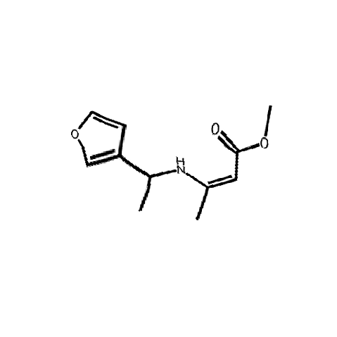 COC(=O)/C=C(/C)NC(C)c1ccoc1